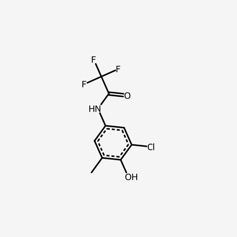 Cc1cc(NC(=O)C(F)(F)F)cc(Cl)c1O